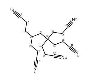 N#CCCC(CCC#N)CC(CCC#N)(CCC#N)CCC#N